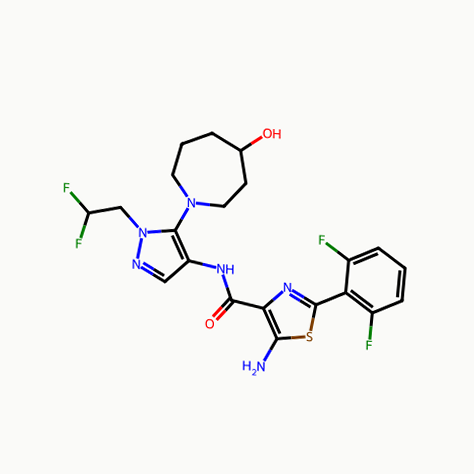 Nc1sc(-c2c(F)cccc2F)nc1C(=O)Nc1cnn(CC(F)F)c1N1CCCC(O)CC1